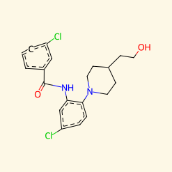 O=C(Nc1cc(Cl)ccc1N1CCC(CCO)CC1)c1cccc(Cl)c1